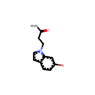 CNC(=O)CCn1ccc2ccc(Br)cc21